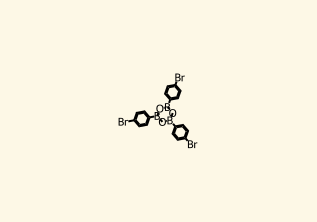 Brc1ccc(B2OB(c3ccc(Br)cc3)OB(c3ccc(Br)cc3)O2)cc1